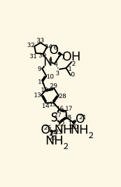 CC(C)C[C@@H](C(=O)O)N(C/C=C/c1ccc(-c2cc(C(N)=O)c(NC(N)=O)s2)cc1)C1CCCC1